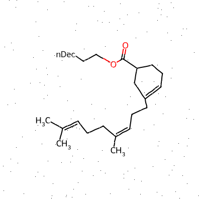 CCCCCCCCCCCCOC(=O)C1CCC=C(CCC=C(C)CCC=C(C)C)C1